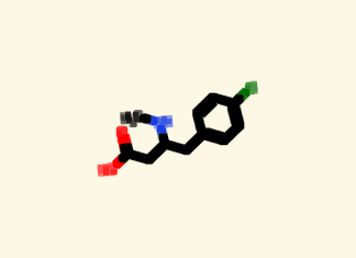 CNC(CC(=O)O)Cc1ccc(Cl)cc1